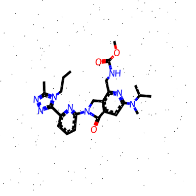 CCCn1c(C)nnc1-c1cccc(N2Cc3c(cc(N(C)C(C)C)nc3CNC(=O)OC)C2=O)n1